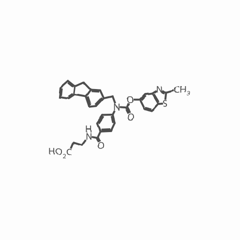 Cc1nc2cc(OC(=O)N(Cc3ccc4c(c3)Cc3ccccc3-4)c3ccc(C(=O)NCCC(=O)O)cc3)ccc2s1